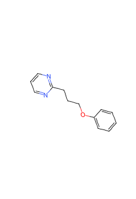 c1ccc(OCCCc2ncccn2)cc1